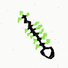 FC(F)(F)CCC(F)(F)C(F)(F)C(F)(F)C(F)(F)C(F)(F)c1ccccc1